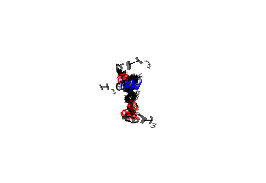 CCCOC1=CC=C2N=C(c3ccc(OCCOC)cc3)CN2N1C